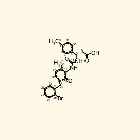 Cc1ccc([C@H](CC(=O)O)NC(=O)Nc2c(C)ccn(Cc3ccccc3Br)c2=O)cc1